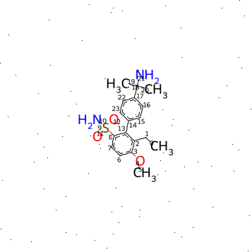 CCc1c(OC)ccc(S(N)(=O)=O)c1-c1ccc(C(C)(C)N)cc1